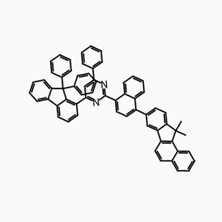 CC1(C)c2ccc(-c3ccc(-c4nc(-c5ccccc5)cc(-c5cccc6c5C(c5ccccc5)(c5ccccc5)c5ccccc5-6)n4)c4ccccc34)cc2-c2ccc3ccccc3c21